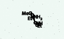 CCn1c(C#Cc2cccc(NS(=O)(=O)CC)c2)c(N)c2ccc(OC)cc21